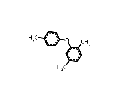 [CH2]c1ccc(Oc2cc(C)ccc2C)cc1